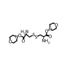 N[C@@H](CSSC[C@H](N)C(=O)ON1CCOCC1)C(=O)ON1CCOCC1